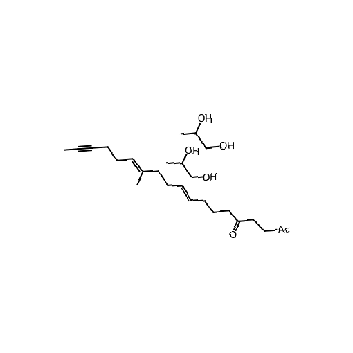 CC#CCC/C=C(\C)CC/C=C/CCCC(=O)CCC(C)=O.CC(O)CO.CC(O)CO